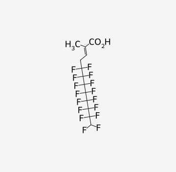 CC(=CCC(F)(F)C(F)(F)C(F)(F)C(F)(F)C(F)(F)C(F)(F)C(F)(F)C(F)F)C(=O)O